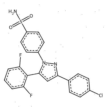 NS(=O)(=O)c1ccc(-n2nc(-c3ccc(Cl)cc3)cc2-c2c(F)cccc2F)cc1